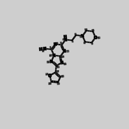 Nc1nc(NCCN2CCOCC2)nc2nc(-c3ccco3)nn12